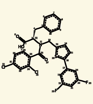 O=C(O)[C@H](Cc1ccccc1)N(Cc1ccc(-c2cc(F)cc(F)c2)s1)C(=O)c1ccc(Cl)cc1Cl